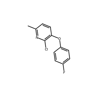 Cc1ccc(Oc2ccc(F)cc2)c(Cl)n1